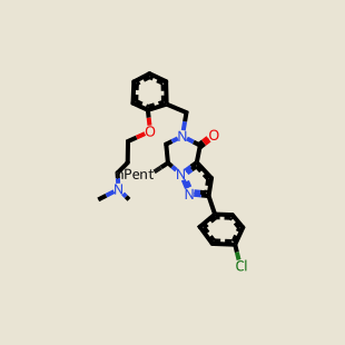 CCCCCC1CN(Cc2ccccc2OCCCN(C)C)C(=O)c2cc(-c3ccc(Cl)cc3)nn21